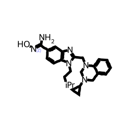 CC(C)CCn1c(CN2CN(C3CC3)Cc3ccccc32)nc2cc(/C(N)=N/O)ccc21